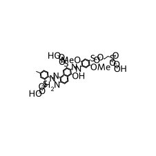 COc1cc(SOOCCS(=O)OOO)c(OC)cc1N=Nc1c(SOOO)cc2c(N=Nc3ccc(C)cc3SOOO)c(N)ccc2c1O